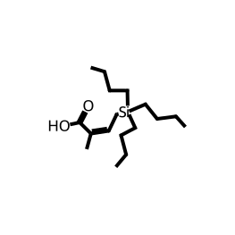 CCCC[Si](CC=C(C)C(=O)O)(CCCC)CCCC